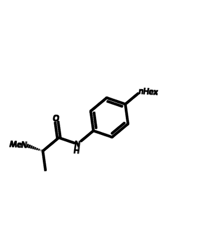 CCCCCCc1ccc(NC(=O)[C@H](C)NC)cc1